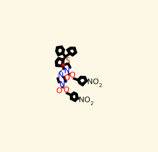 O=C(OCc1ccc([N+](=O)[O-])cc1)N1CCN(C[C@@H]2C[C@H](SC(c3ccccc3)(c3ccccc3)c3ccccc3)CN2C(=O)OCc2ccc([N+](=O)[O-])cc2)CC1